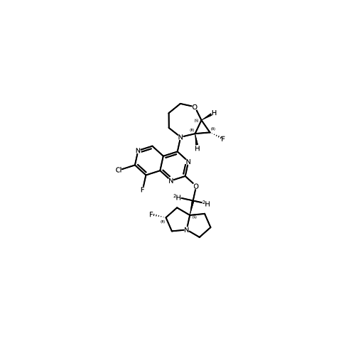 [2H]C([2H])(Oc1nc(N2CCCO[C@@H]3[C@H](F)[C@@H]32)c2cnc(Cl)c(F)c2n1)[C@@]12CCCN1C[C@H](F)C2